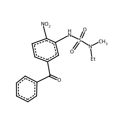 CCN(C)S(=O)(=O)Nc1cc(C(=O)c2ccccc2)ccc1[N+](=O)[O-]